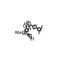 CCN1CC[C@@H](Nc2cc3nc(Cc4ccc(-c5cc(F)cc(F)c5)nc4)[nH]c(=O)c3cc2OC)C1.Cl